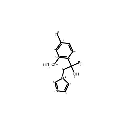 CCC(O)(Cn1ccnc1)c1ccc(Cl)cc1Cl.Cl